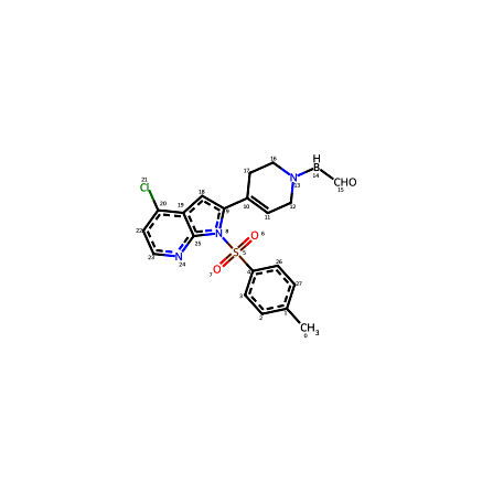 Cc1ccc(S(=O)(=O)n2c(C3=CCN(BC=O)CC3)cc3c(Cl)ccnc32)cc1